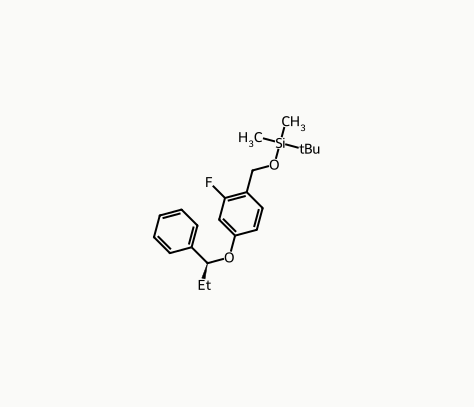 [CH2]C[C@H](Oc1ccc(CO[Si](C)(C)C(C)(C)C)c(F)c1)c1ccccc1